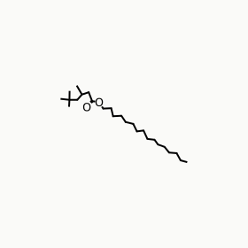 CCCCCCCCCCCCCCCCOC(=O)CC(C)CC(C)(C)C